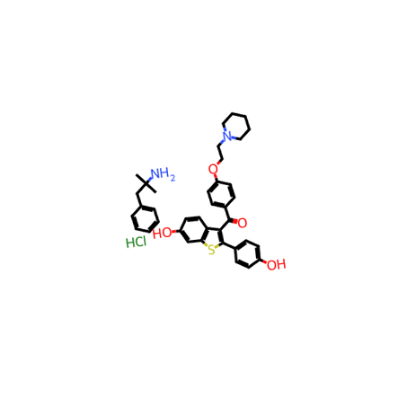 CC(C)(N)Cc1ccccc1.Cl.O=C(c1ccc(OCCN2CCCCC2)cc1)c1c(-c2ccc(O)cc2)sc2cc(O)ccc12